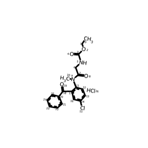 CCOC(=O)NCC(=O)N(C)c1ccc(Cl)cc1C(=O)c1ccccc1.Cl